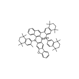 Cc1cc2c(cc1N1c3cc4oc5ccccc5c4cc3Bc3c(-c4cc5c(cc4Nc4ccc6c(c4)C(C)(C)CCC6(C)C)C(C)(C)CCC5(C)C)cc4ccccc4c31)C(C)(C)CCC2(C)C